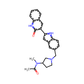 CC(=O)N(C)C1CCN(Cc2ccc3[nH]c(-c4cc5ccccc5[nH]c4=O)cc3c2)C1